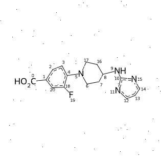 O=C(O)c1ccc(N2CCC(Nc3ncccn3)CC2)c(F)c1